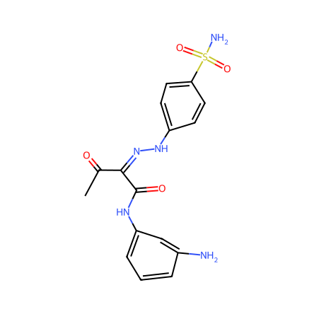 CC(=O)/C(=N/Nc1ccc(S(N)(=O)=O)cc1)C(=O)Nc1cccc(N)c1